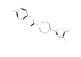 Cc1sc(C2CCN(C(=O)Nc3ccc(C(F)(F)F)cc3)CC2)nc1Br